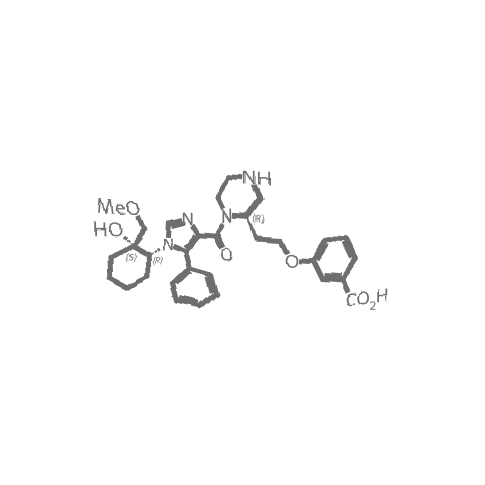 COC[C@]1(O)CCCC[C@H]1n1cnc(C(=O)N2CCNC[C@H]2CCOc2cccc(C(=O)O)c2)c1-c1ccccc1